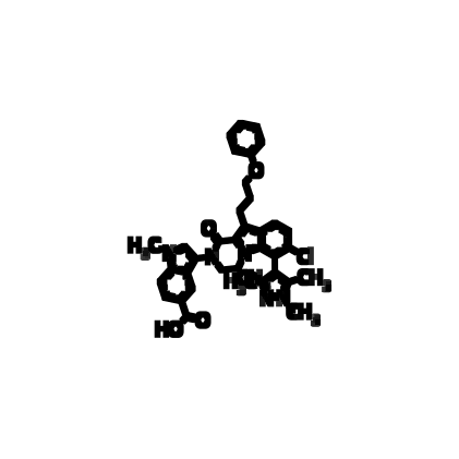 Cc1nn(C)c(C)c1-c1c(Cl)ccc2c(CCCOc3ccccc3)c3n(c12)[C@H](C)CN(c1cn(C)c2ccc(C(=O)O)cc12)C3=O